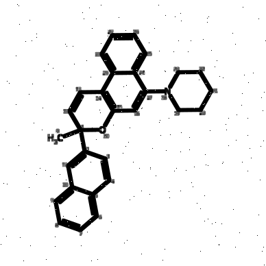 CC1(c2ccc3ccccc3c2)C=Cc2c(cc(N3CCCCC3)c3ccccc23)O1